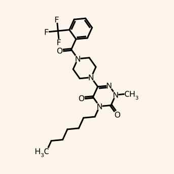 CCCCCCCn1c(=O)c(N2CCN(C(=O)c3ccccc3C(F)(F)F)CC2)nn(C)c1=O